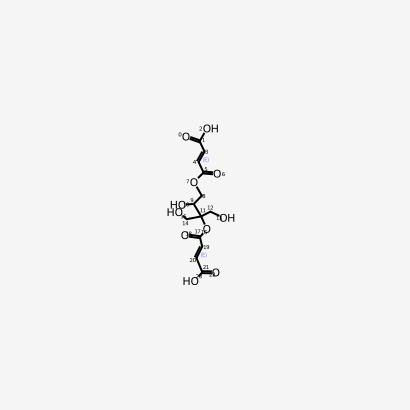 O=C(O)/C=C/C(=O)OCC(O)C(CO)(CO)OC(=O)/C=C/C(=O)O